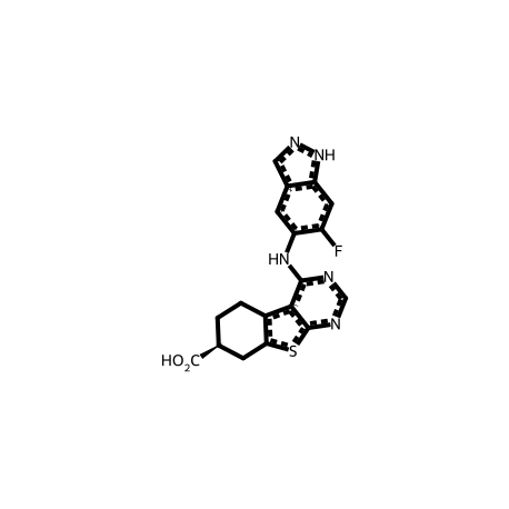 O=C(O)[C@H]1CCc2c(sc3ncnc(Nc4cc5cn[nH]c5cc4F)c23)C1